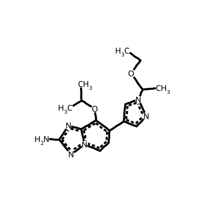 CCOC(C)n1cc(-c2ccn3nc(N)nc3c2OC(C)C)cn1